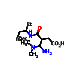 CCCCCCCCCCCC(CC)NC(=O)C(CC(=O)O)C(N)N(C)C